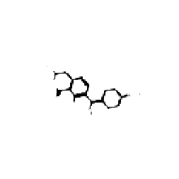 CCCC1CCC(C(CCC)c2ccc3c(c2F)C(=O)OC(C)C3)CC1